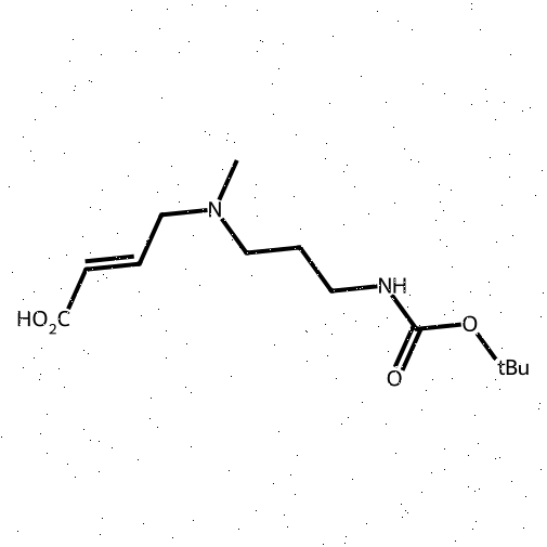 CN(C/C=C/C(=O)O)CCCNC(=O)OC(C)(C)C